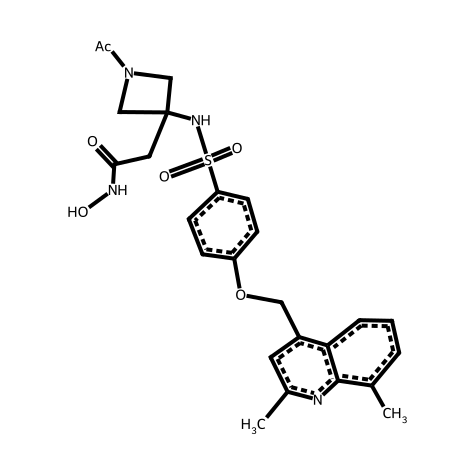 CC(=O)N1CC(CC(=O)NO)(NS(=O)(=O)c2ccc(OCc3cc(C)nc4c(C)cccc34)cc2)C1